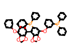 c1ccc(Oc2ccc(-c3c(P(c4ccccc4)c4ccccc4)cc(Oc4cccc(P(c5ccccc5)c5ccccc5)c4)c4c3OCO4)c3c2OCO3)cc1